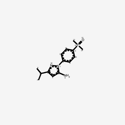 CC(C)c1cc(N)n(-c2ccc(P(C)(C)=O)cc2)n1